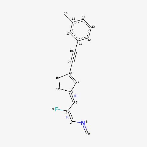 C=N/C=C(F)\C=C1\C=C(C#Cc2cccc(C)c2)CC1